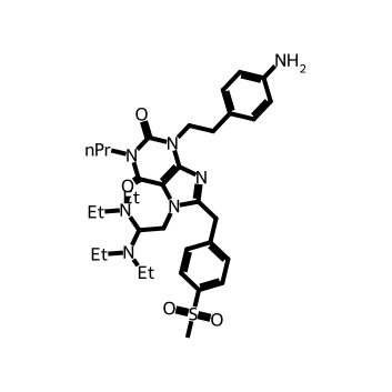 CCCn1c(=O)c2c(nc(Cc3ccc(S(C)(=O)=O)cc3)n2CC(N(CC)CC)N(CC)CC)n(CCc2ccc(N)cc2)c1=O